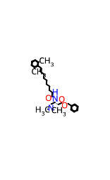 Cc1cccc(C)c1C=CCCCCCCCC(=O)N[C@H](CC(=O)OCc1ccccc1)CN(C)C